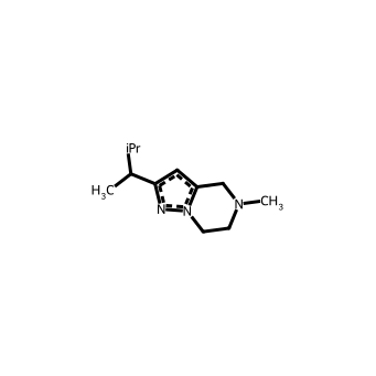 CC(C)C(C)c1cc2n(n1)CCN(C)C2